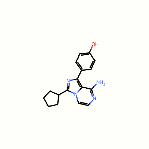 Nc1nccn2c(C3CCCC3)nc(-c3ccc(O)cc3)c12